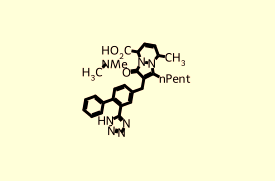 CCCCCc1c(Cc2ccc(-c3ccccc3)c(-c3nnn[nH]3)c2)c(=O)n2n1C(C)C=CC2C(=O)O.CNC